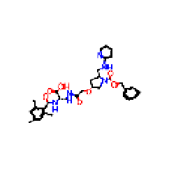 Cc1cc(C)c(C(=O)N[C@@H](CNC(=O)CO[C@@H]2C[C@@H](CNc3ccccn3)N(C(=O)OCc3ccccc3)C2)C(=O)O)c(C)c1